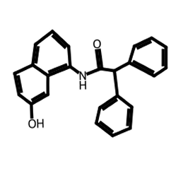 O=C(Nc1cccc2ccc(O)cc12)C(c1ccccc1)c1ccccc1